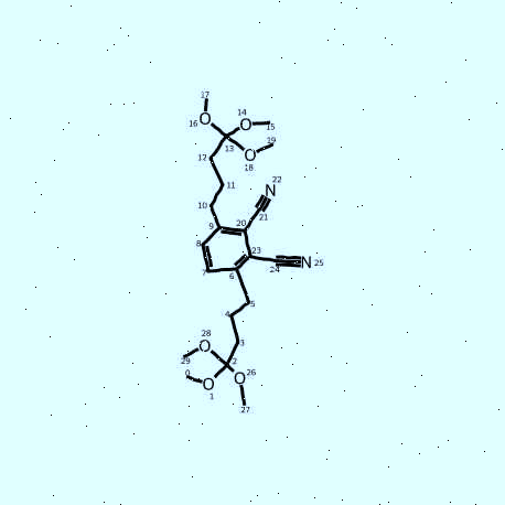 COC(CCCc1ccc(CCCC(OC)(OC)OC)c(C#N)c1C#N)(OC)OC